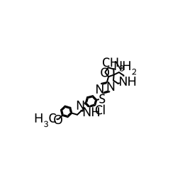 COc1cccc(Cc2nc3ccc(Sc4cnc(C5OC(C)C(N)C56CCNCC6)cn4)c(Cl)c3[nH]2)c1